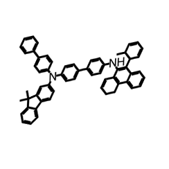 CC1C=CC=CC1c1c(Nc2ccc(-c3ccc(N(c4ccc(-c5ccccc5)cc4)c4ccc5c(c4)C(C)(C)c4ccccc4-5)cc3)cc2)c2c(c3ccccc13)CCC=C2